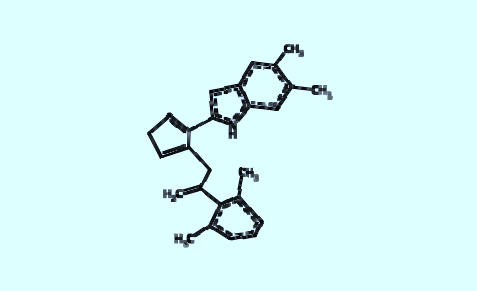 C=C(CC1=CCC=C1c1cc2cc(C)c(C)cc2[nH]1)c1c(C)cccc1C